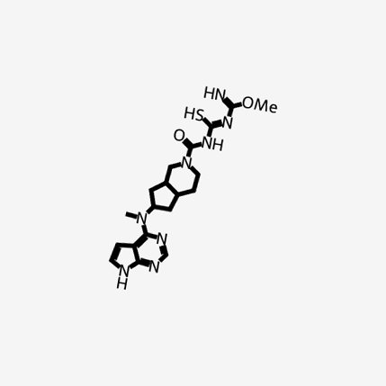 COC(=N)/N=C(\S)NC(=O)N1CCC2CC(N(C)c3ncnc4[nH]ccc34)CC2C1